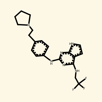 FC(F)(F)CNc1nc(Nc2ccc(CCN3CCCC3)cc2)nc2[nH]ccc12